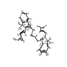 CN(C)C=CC1=[N+](CCCC[N+]2=C(C=CN(C)C)C(C)(C)c3ccccc32)c2ccccc2C1(C)C